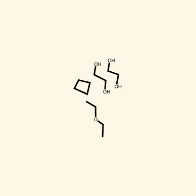 C1CCC1.CCOCC.OCCO.OCCO